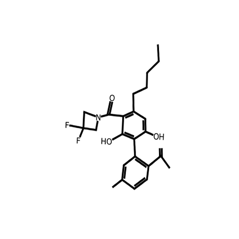 C=C(C)c1ccc(C)cc1-c1c(O)cc(CCCCC)c(C(=O)N2CC(F)(F)C2)c1O